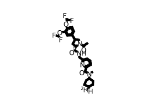 [2H]C1([2H])CCC(N(C)C(=O)c2cccc(CNC(=O)[C@H]3CC(c4ccc(OC(F)F)c(OC(F)F)c4)CN3C(C)=O)n2)CC1